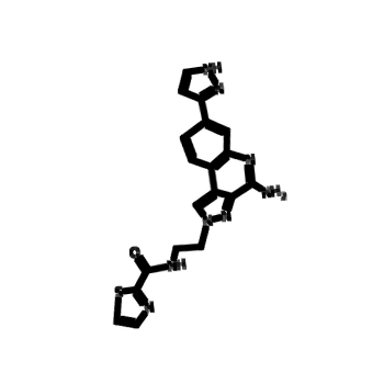 Nc1nc2cc(-c3cc[nH]n3)ccc2c2cn(CCNC(=O)c3nccs3)nc12